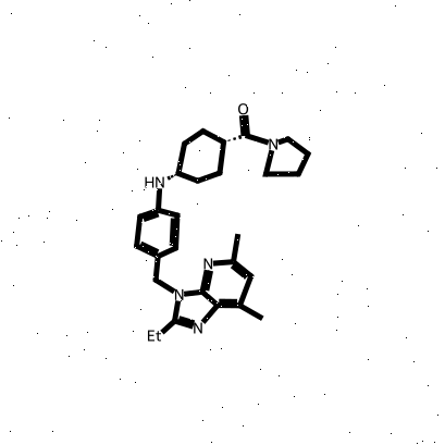 CCc1nc2c(C)cc(C)nc2n1Cc1ccc(N[C@H]2CC[C@@H](C(=O)N3CCCC3)CC2)cc1